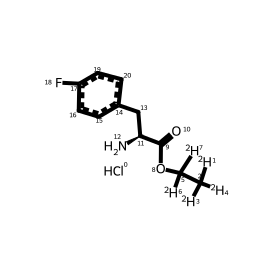 Cl.[2H]C([2H])([2H])C([2H])([2H])OC(=O)[C@@H](N)Cc1ccc(F)cc1